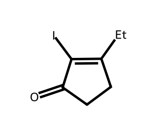 CCC1=C(I)C(=O)CC1